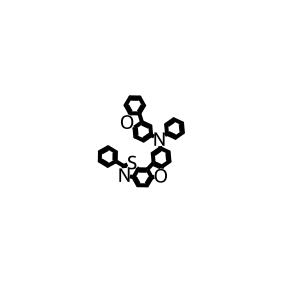 c1ccc(-c2nc3ccc4oc5ccc(N(c6ccccc6)c6ccc7oc8ccccc8c7c6)cc5c4c3s2)cc1